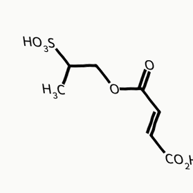 CC(COC(=O)C=CC(=O)O)S(=O)(=O)O